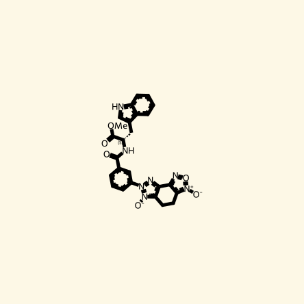 COC(=O)[C@H](Cc1c[nH]c2ccccc12)NC(=O)c1cccc(-n2nc3c([n+]2[O-])CCc2c-3no[n+]2[O-])c1